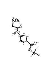 CC(C)(C)OC(=O)c1ccc(NC(=O)CN)cc1